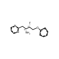 N[C@H](Cc1ncccn1)[C@H](F)COc1ccccc1